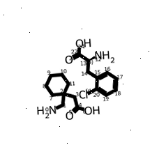 NCC1(CC(=O)O)CCCCC1.N[C@@H](Cc1ccccc1Cl)C(=O)O